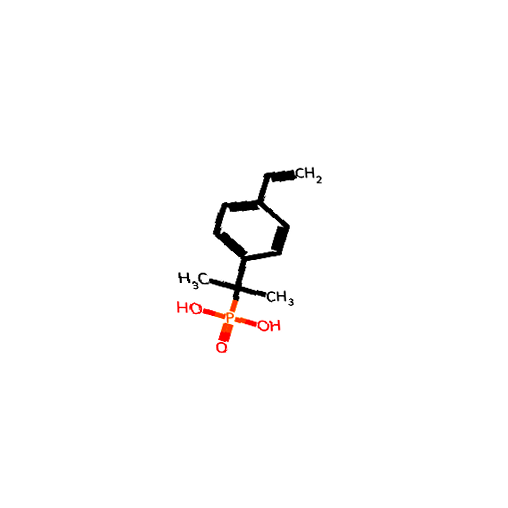 C=Cc1ccc(C(C)(C)P(=O)(O)O)cc1